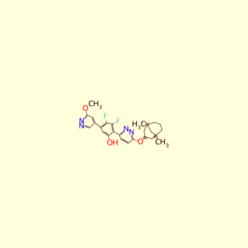 COc1cc(-c2cc(O)c(-c3ccc(O[C@H]4C[C@]5(C)CCC[C@](C)(C4)C5)nn3)c(F)c2F)cnn1